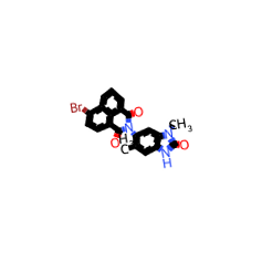 Cc1cc2[nH]c(=O)n(C)c2cc1N1C(=O)c2cccc3c(Br)ccc(c23)C1=O